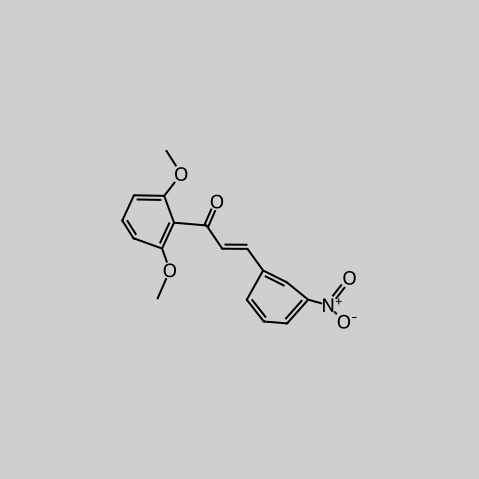 COc1cccc(OC)c1C(=O)C=Cc1cccc([N+](=O)[O-])c1